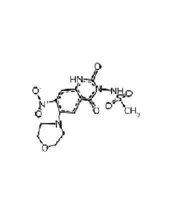 CS(=O)(=O)Nn1c(=O)[nH]c2cc([N+](=O)[O-])c(N3CCOCC3)cc2c1=O